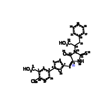 O=C(O)c1cc(-c2ccc(/C=C3/NC(=S)N(C(Cc4ccccc4)C(=O)O)C3=O)o2)ccc1Cl